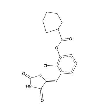 O=C1NC(=O)C(=Cc2cccc(OC(=O)C3CCCCC3)c2Cl)S1